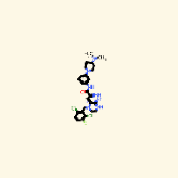 CN(C)C1CCN(c2cccc(NC(=O)C(=N)/C=C3\C(=N)NCCN3Cc3c(Cl)ccc(F)c3Cl)c2)CC1